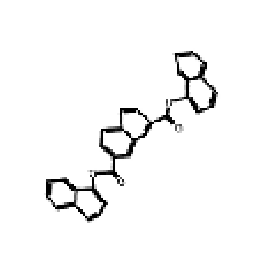 O=C(Oc1cccc2ccccc12)c1ccc2ccc(C(=O)Oc3cccc4ccccc34)cc2c1